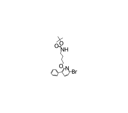 CC(C)(C)OC(=O)NCCCCOc1nc(Br)ccc1-c1ccccc1